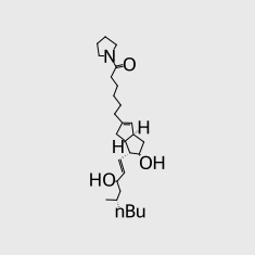 CCCC[C@H](C)C[C@H](O)/C=C/[C@@H]1[C@H]2CC(CCCCCC(=O)N3CCCC3)=C[C@H]2C[C@H]1O